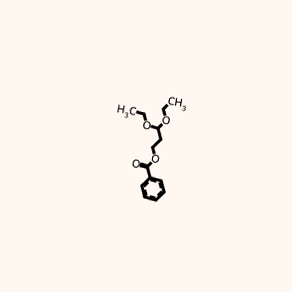 CCOC(CCOC(=O)c1ccccc1)OCC